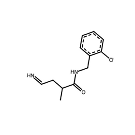 CC(CC=N)C(=O)NCc1ccccc1Cl